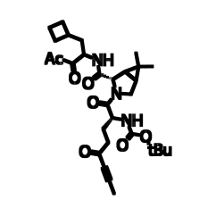 CC#CC(=O)CC[C@H](NC(=O)OC(C)(C)C)C(=O)N1CC2C([C@H]1C(=O)NC(CC1CCC1)C(=O)C(C)=O)C2(C)C